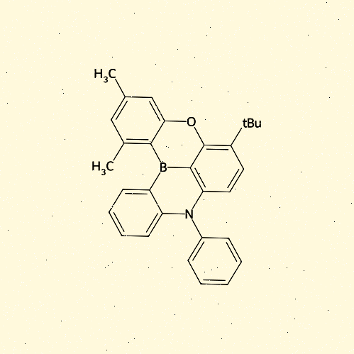 Cc1cc(C)c2c(c1)Oc1c(C(C)(C)C)ccc3c1B2c1ccccc1N3c1ccccc1